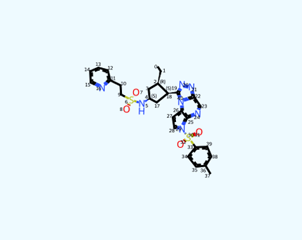 CC[C@@H]1C[C@H](NS(=O)(=O)CCc2ccccn2)C[C@@H]1c1nnc2cnc3c(ccn3S(=O)(=O)c3ccc(C)cc3)n12